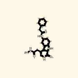 CC(C)NC(=O)Cc1c[nH]c(=O)c2[nH]c3ccc(NC(=O)Cc4ccccc4)cc3c12